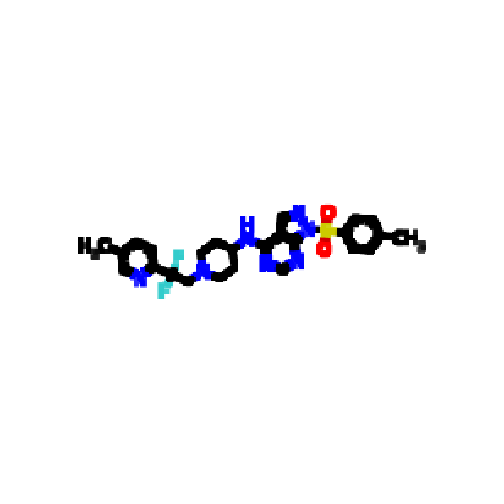 Cc1ccc(S(=O)(=O)n2ncc3c(NC4CCN(CC(F)(F)c5ccc(C)cn5)CC4)ncnc32)cc1